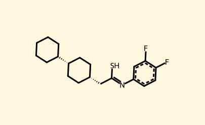 Fc1ccc(N=C(S)C[C@H]2CC[C@@H](C3CCCCC3)CC2)cc1F